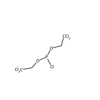 ClP(OCC(Cl)(Cl)Cl)OCC(Cl)(Cl)Cl